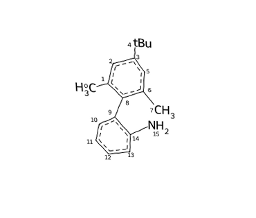 Cc1cc(C(C)(C)C)cc(C)c1-c1ccccc1N